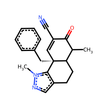 CC1C(=O)C(C#N)=C[C@]2(Cc3ccccc3)c3c(cnn3C)CCC12